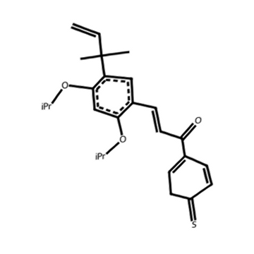 C=CC(C)(C)c1cc(C=CC(=O)C2=CCC(=S)C=C2)c(OC(C)C)cc1OC(C)C